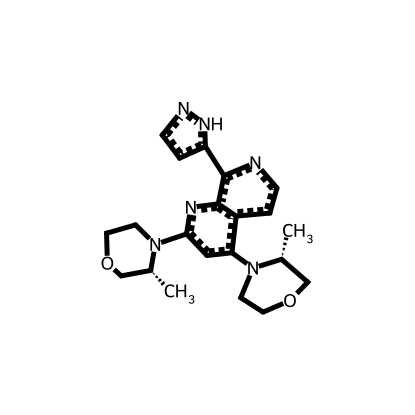 C[C@@H]1COCCN1c1cc(N2CCOC[C@H]2C)c2ccnc(-c3ccn[nH]3)c2n1